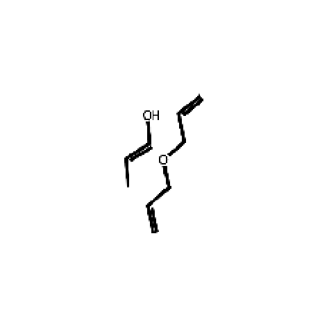 C=CCOCC=C.CC=CO